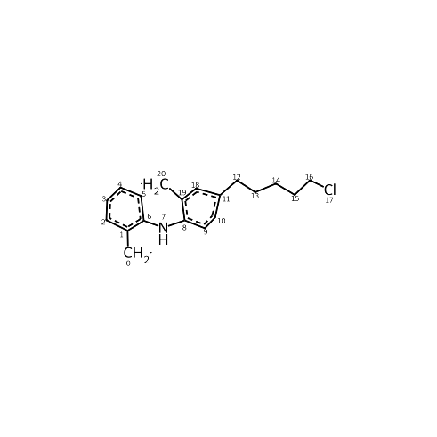 [CH2]c1ccccc1Nc1ccc(CCCCCCl)cc1[CH2]